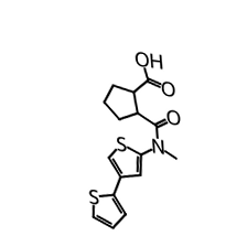 CN(C(=O)C1CCCC1C(=O)O)c1cc(-c2cccs2)cs1